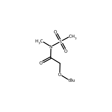 CN(C(=O)COC(C)(C)C)S(C)(=O)=O